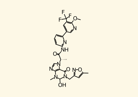 COc1ncc(-c2cccc(NC(=O)[C@H](C)n3cnc4c3C(=O)N(Cc3cc(C)on3)C(O)N4C)n2)cc1C(F)(F)F